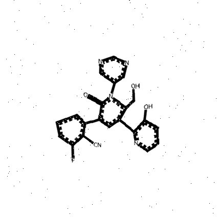 N#Cc1c(F)cccc1-c1cc(-c2ncccc2O)c(CO)n(-c2cncnc2)c1=O